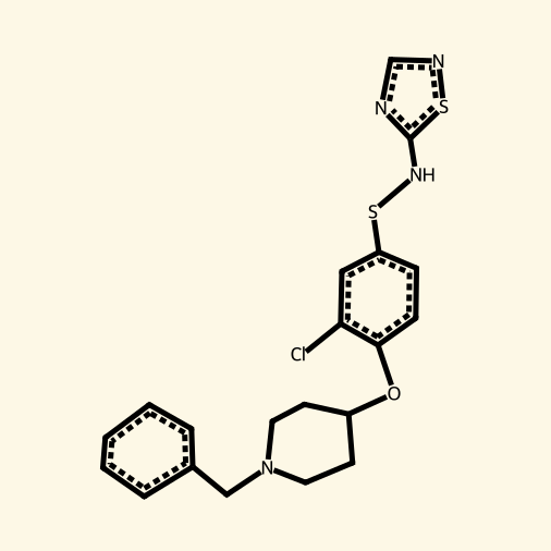 Clc1cc(SNc2ncns2)ccc1OC1CCN(Cc2ccccc2)CC1